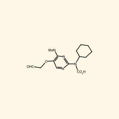 CNc1nc(N(C(=O)O)C2CCCCC2)ncc1OCC=O